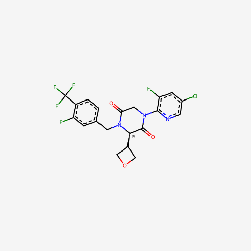 O=C1[C@@H](C2COC2)N(Cc2ccc(C(F)(F)F)c(F)c2)C(=O)CN1c1ncc(Cl)cc1F